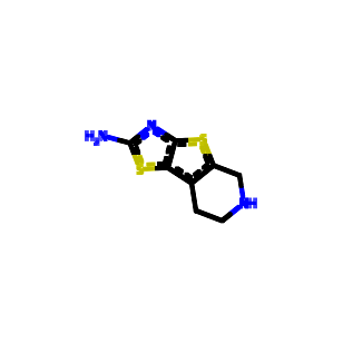 Nc1nc2sc3c(c2s1)CCNC3